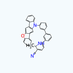 CC1NC(c2cccc(-c3cccc(-n4c5ccccc5c5cc6oc7ccccc7c6cc54)c3)c2)=CC=C1C#N